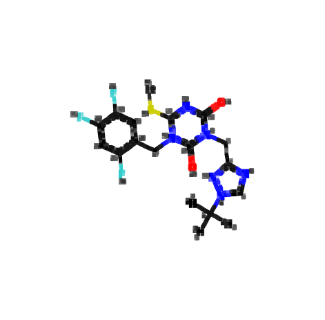 [2H]C([2H])([2H])n1cnc(Cn2c(=O)nc(SCC)n(Cc3cc(F)c(F)cc3F)c2=O)n1